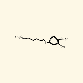 CCOC(=O)CCCCCCOc1ccc(C(=O)OCC)c(O)c1